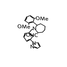 COc1cccc(OC)c1C1CCCCC(C=O)N1Cc1cccc(-n2cccn2)c1